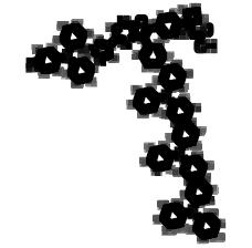 O=C(O)NC1(c2ccc(-c3oc4ncc(-c5cn[nH]c5)nc4c3-c3ccccc3)cc2)CCC1.[Pd].c1ccc(P(c2ccccc2)c2ccccc2)cc1.c1ccc(P(c2ccccc2)c2ccccc2)cc1.c1ccc(P(c2ccccc2)c2ccccc2)cc1.c1ccc(P(c2ccccc2)c2ccccc2)cc1